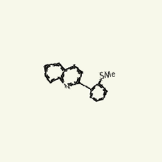 CSc1ccccc1-c1ccc2ccccc2n1